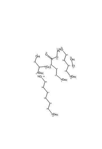 CCCCCCCCCCC(CO)CCCCCCCC.CCCCCCCCCCCCCC(=O)OC(C)C.CCCCCCCCCCCCCCCCO.CCCCCCCCCCCCCCO.CCO